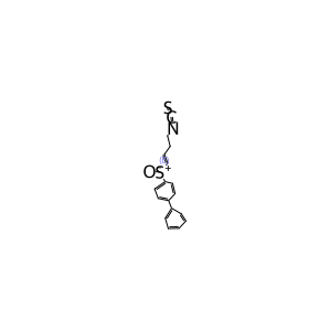 [O-][S+](/C=C/CCN=C=S)c1ccc(-c2ccccc2)cc1